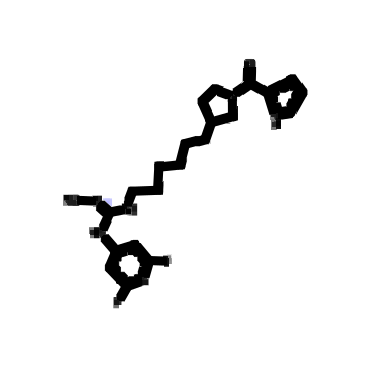 N#C/N=C(/NCCCCCCC1CCN(C(=O)c2ccc[nH]2)C1)Nc1cc(F)nc(F)c1